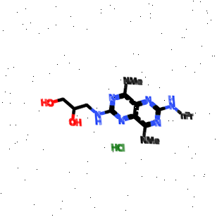 CCCNc1nc(NC)c2nc(NCC(O)CO)nc(NC)c2n1.Cl